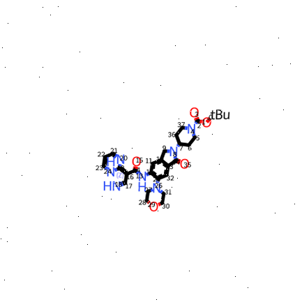 CC(C)(C)OC(=O)N1CCC(N2Cc3cc(NC(=O)/C(C=N)=C4\N=CC=CN4)c(N4CCOCC4)cc3C2=O)CC1